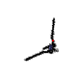 CCCCCCCCCCCCCCCCCC#CCCc1ccccc1/N=C(CCCCCC)\C(CCCC)=N\c1ccccc1CCC#CCCCCCCCCCCCCCCCCC.[Ni]